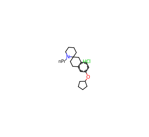 CCCN1CCCCC12CCc1cc(OC3CCCC3)ccc1C2.Cl